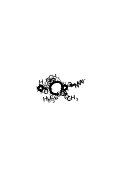 COCOc1cc(OCCN=[N+]=[N-])cc2c1C(=O)OC(C)[C@H](C)CCC(OC(=O)c1ccccc1)C1OC(C)(C)OC1CCC2